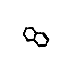 [C]1CCCC2C=CC=CC12